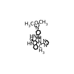 C[C@H](Nc1c(-c2nc3ccc(N4C[C@H](C)O[C@@H](C)C4)cc3[nH]2)c(=O)[nH]c2ccccc12)c1ncccn1